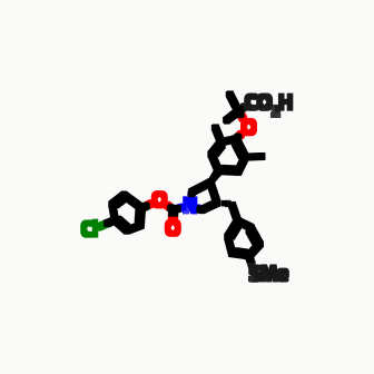 CSc1ccc(C[C@@H]2CN(C(=O)Oc3ccc(Cl)cc3)C[C@H]2c2cc(C)c(OC(C)(C)C(=O)O)c(C)c2)cc1